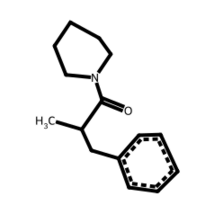 CC(Cc1ccccc1)C(=O)N1CCCCC1